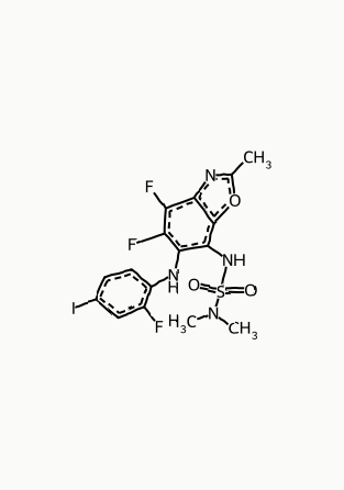 Cc1nc2c(F)c(F)c(Nc3ccc(I)cc3F)c(NS(=O)(=O)N(C)C)c2o1